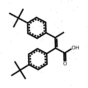 C/C(=C(\C(=O)O)c1ccc(C(C)(C)C)cc1)c1ccc(C(C)(C)C)cc1